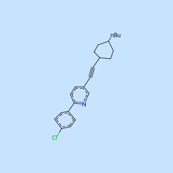 CCCCC1CCC(C#Cc2ccc(-c3ccc(Cl)cc3)nc2)CC1